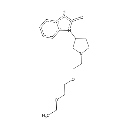 CCOCCOCCN1CCC(n2c(=O)[nH]c3ccccc32)C1